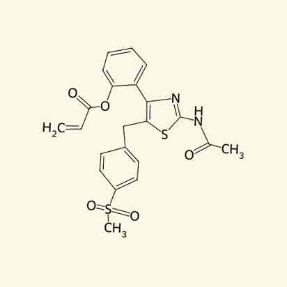 C=CC(=O)Oc1ccccc1-c1nc(NC(C)=O)sc1Cc1ccc(S(C)(=O)=O)cc1